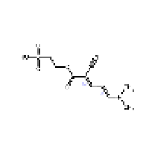 CN(C)/C=C/C=C(\C#N)C(=O)OCCS(=O)(=O)O